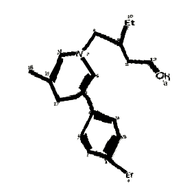 CCc1ccc(C2=CN(CC(CC)CCO)C=C(C)C2)cc1